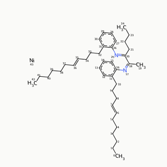 CCCCCCC=CCCCc1ccccc1N=C(C)C(CCCC)=Nc1ccccc1CCCC=CCCCCCC.[Ni]